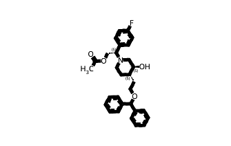 CC(=O)OC[C@H](c1ccc(F)cc1)N1CC[C@@H](CCOC(c2ccccc2)c2ccccc2)[C@H](O)C1